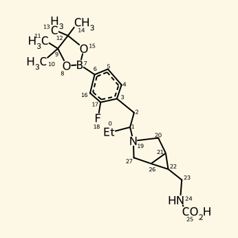 CCC(Cc1ccc(B2OC(C)(C)C(C)(C)O2)cc1F)N1CC2C(CNC(=O)O)C2C1